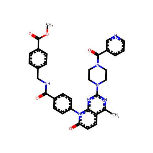 COC(=O)c1ccc(CNC(=O)c2ccc(-n3c(=O)ccc4c(C)nc(N5CCN(C(=O)c6cccnc6)CC5)nc43)cc2)cc1